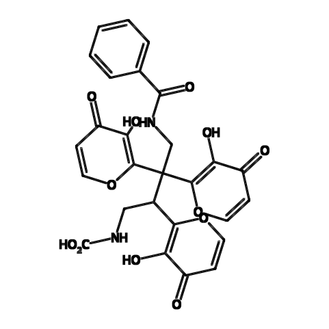 O=C(O)NCC(c1occc(=O)c1O)C(CNC(=O)c1ccccc1)(c1occc(=O)c1O)c1occc(=O)c1O